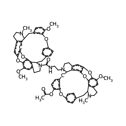 COc1ccc2cc1Oc1ccc(cc1)CC1c3c(cc(OC)c4c3Oc3cc5c(cc3O4)CCN(C)C5C2)CCN1C(=O)NCCN1CCc2cc3c4cc2C1Cc1ccc(OC(C)=O)c(c1)Oc1ccc(cc1)CC1c2c(cc(OC)c(c2O4)O3)CCN1C